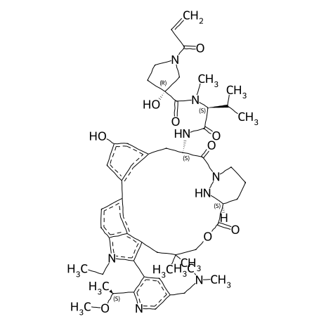 C=CC(=O)N1CC[C@](O)(C(=O)N(C)[C@H](C(=O)N[C@H]2Cc3cc(O)cc(c3)-c3ccc4c(c3)c(c(-c3cc(CN(C)C)cnc3[C@H](C)OC)n4CC)CC(C)(C)COC(=O)[C@@H]3CCCN(N3)C2=O)C(C)C)C1